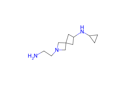 NCCN1CC2(CC(NC3CC3)C2)C1